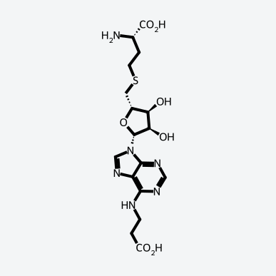 N[C@@H](CCSC[C@H]1O[C@@H](n2cnc3c(NCCC(=O)O)ncnc32)[C@H](O)[C@@H]1O)C(=O)O